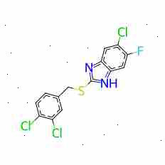 Fc1cc2[nH]c(SCc3ccc(Cl)c(Cl)c3)nc2cc1Cl